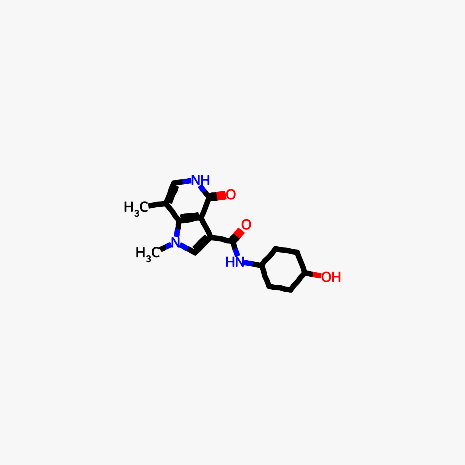 Cc1c[nH]c(=O)c2c(C(=O)NC3CCC(O)CC3)cn(C)c12